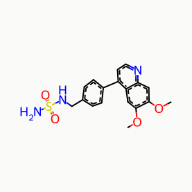 COc1cc2nccc(-c3ccc(CNS(N)(=O)=O)cc3)c2cc1OC